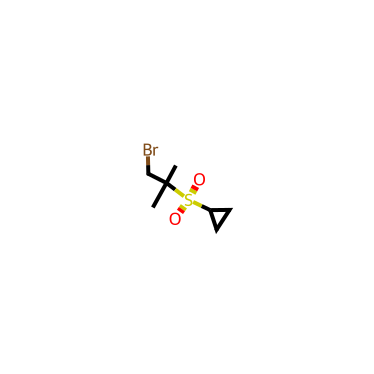 CC(C)(CBr)S(=O)(=O)C1CC1